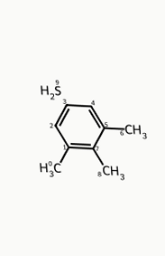 Cc1cccc(C)c1C.S